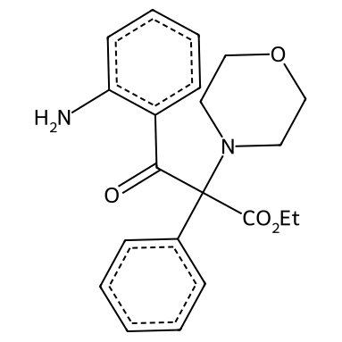 CCOC(=O)C(C(=O)c1ccccc1N)(c1ccccc1)N1CCOCC1